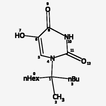 CCCCCCC(C)(CCCC)n1cc(O)c(=O)[nH]c1=O